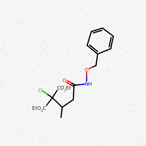 CCOC(=O)C(Cl)(C(=O)OCC)C(C)CC(=O)NOCc1ccccc1